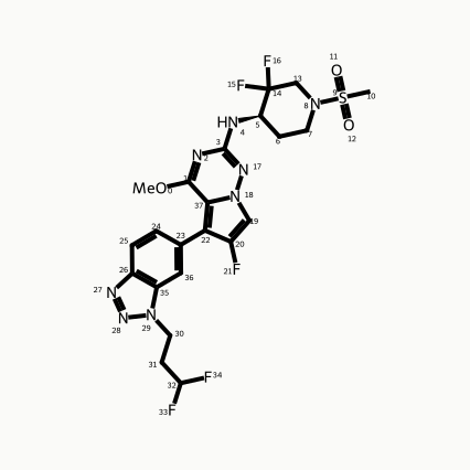 COc1nc(N[C@@H]2CCN(S(C)(=O)=O)CC2(F)F)nn2cc(F)c(-c3ccc4nnn(CCC(F)F)c4c3)c12